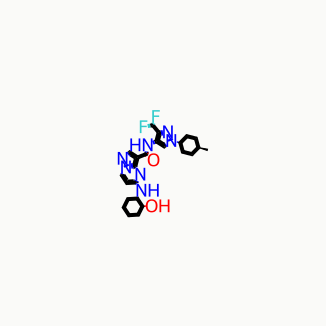 C[C@H]1CC[C@H](n2cc(NC(=O)c3cnn4ccc(N[C@H]5CCCC[C@H]5O)nc34)c(C(F)F)n2)CC1